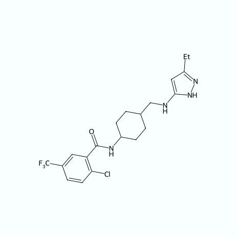 CCc1cc(NCC2CCC(NC(=O)c3cc(C(F)(F)F)ccc3Cl)CC2)[nH]n1